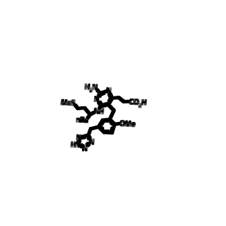 CCCCC(CCSC)Nc1nc(N)nc(CCC(=O)O)c1Cc1cc(Cc2nn[nH]n2)ccc1OC